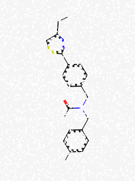 CCCCCCCCCCCc1csc(-c2ccc(CN(Cc3ccc(C(F)(F)F)cc3)C(=O)C(=O)OCC)cc2)n1